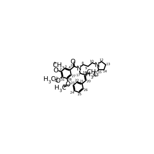 COc1cc(C(=O)N(CCCN2CCCC2C)C/C(C)=C\c2ccccc2)cc(OC)c1OC